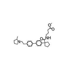 COC(=O)CCCNC(=O)C1(c2ccc(-c3ccc(CCN4CCCC4C)cc3)cc2)CCCC1